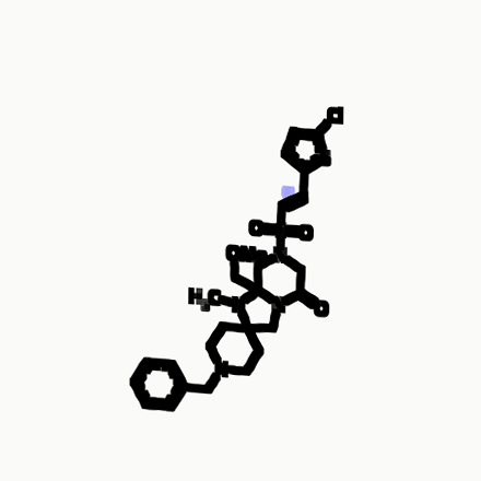 COCC12CN(S(=O)(=O)/C=C/c3ccc(Cl)s3)CC(=O)N1CC1(CCN(Cc3ccccc3)CC1)N2C